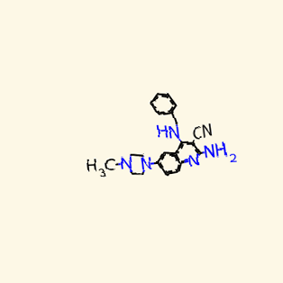 CN1CCN(c2ccc3nc(N)c(C#N)c(NCc4ccccc4)c3c2)CC1